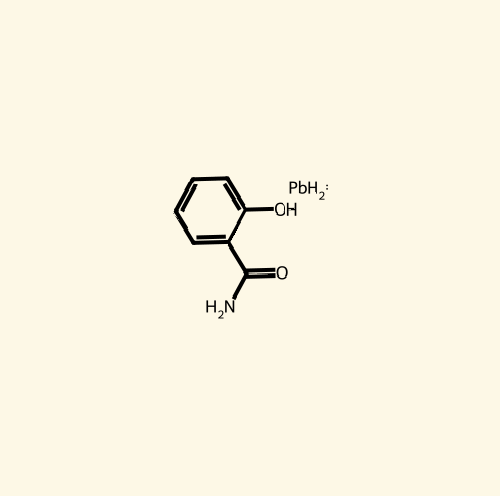 NC(=O)c1ccccc1O.[PbH2]